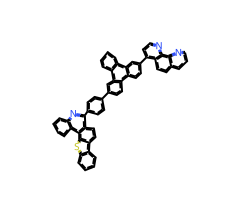 c1cnc2c(c1)ccc1c(-c3ccc4c5ccc(-c6ccc(-c7nc8ccccc8c8c7ccc7c9ccccc9sc78)cc6)cc5c5ccccc5c4c3)ccnc12